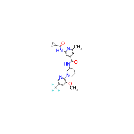 COc1cc(C(F)(F)F)cnc1N1CCCC(NC(=O)c2cc(C)nc(NC(=O)C3CC3)c2)C1